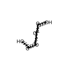 O=C(CSCSCC(=O)SCSCSCO)SCCSCSCC[S+]([O-])CCSCSCC(=O)SCSCSCO